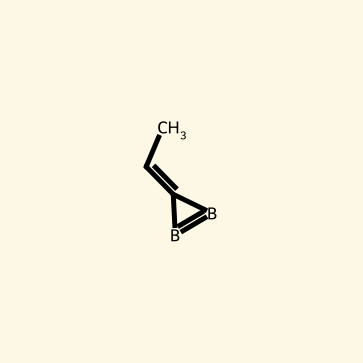 CC=C1B=B1